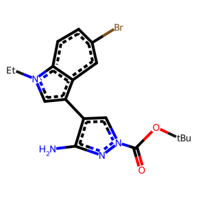 CCn1cc(-c2cn(C(=O)OC(C)(C)C)nc2N)c2cc(Br)ccc21